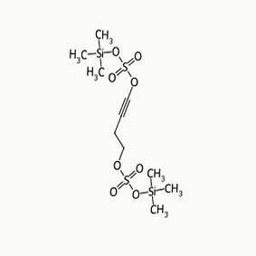 C[Si](C)(C)OS(=O)(=O)OC#CCCOS(=O)(=O)O[Si](C)(C)C